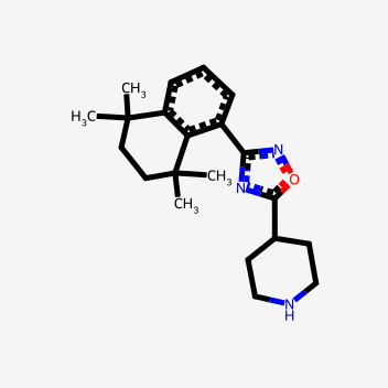 CC1(C)CCC(C)(C)c2c(-c3noc(C4CCNCC4)n3)cccc21